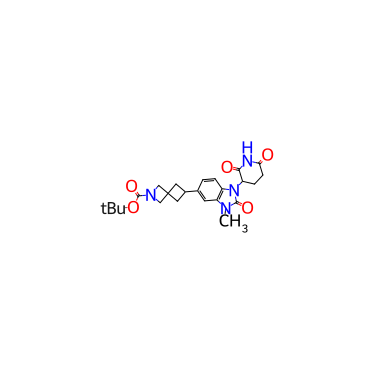 Cn1c(=O)n(C2CCC(=O)NC2=O)c2ccc(C3CC4(C3)CN(C(=O)OC(C)(C)C)C4)cc21